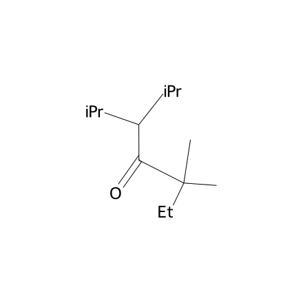 CCC(C)(C)C(=O)C(C(C)C)C(C)C